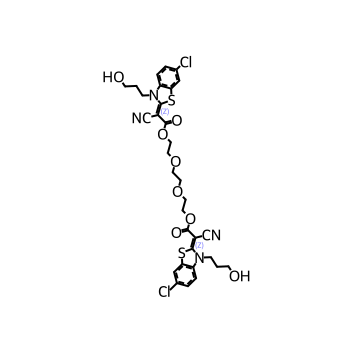 N#C/C(C(=O)OCCOCCOCCOC(=O)/C(C#N)=C1\Sc2cc(Cl)ccc2N1CCCO)=C1/Sc2cc(Cl)ccc2N1CCCO